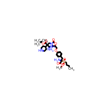 CCCCS(=O)(=O)C(N)(Cc1ccc(OCC2CN(CC(C(=N)N)(C(=O)OC(C)(C)C)C3CCNCC3)C(=O)O2)cc1)C(=O)OC